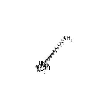 CCCCCCCCCCCCCCCCCCNC(CCC(N)=O)C(=O)O